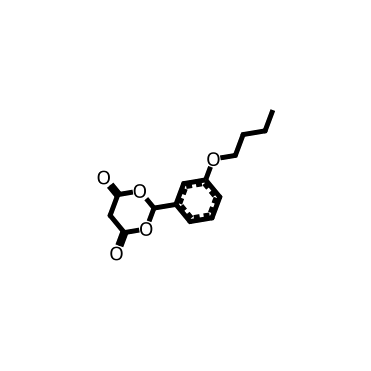 CCCCOc1cccc(C2OC(=O)CC(=O)O2)c1